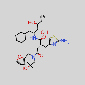 CC(C)C[C@H](O)[C@H](O)[C@H](CC1CCCCC1)NC(=O)[C@@H](CC(=O)N(Cc1ccco1)CC(C)(C)O)Cc1csc(N)n1